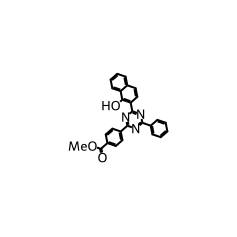 COC(=O)c1ccc(-c2nc(-c3ccccc3)nc(-c3ccc4ccccc4c3O)n2)cc1